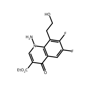 CCOC(=O)c1cn(N)c2c(CCO)c(F)c(F)cc2c1=O